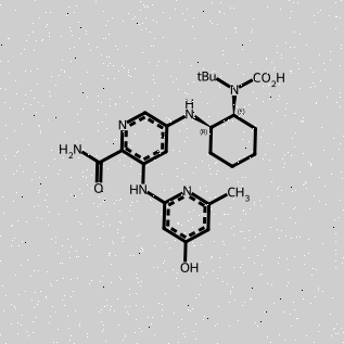 Cc1cc(O)cc(Nc2cc(N[C@@H]3CCCC[C@@H]3N(C(=O)O)C(C)(C)C)cnc2C(N)=O)n1